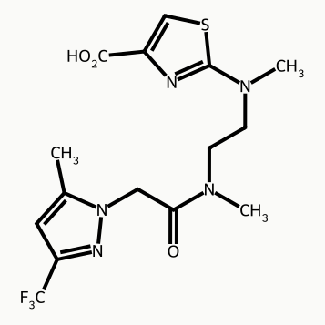 Cc1cc(C(F)(F)F)nn1CC(=O)N(C)CCN(C)c1nc(C(=O)O)cs1